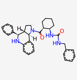 O=C(NCc1ccccc1)N[C@@H]1CCCC[C@@H]1C(=O)N1CC[C@H]2[C@H](c3ccccc3)Nc3ccccc3[C@@H]21